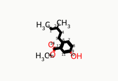 CC[C@@H](C)CCc1ccc(O)cc1C(=O)OC